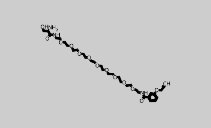 C#CCOc1cccc(C(=O)NCCOCCOCCOCCOCCOCCOCCOCCOCCOCCNC(=O)[C@H](N)CO)c1